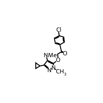 CNc1c(C2CC2)nn(C)c1OCC(=O)c1ccc(Cl)cc1